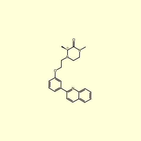 C[C@H]1C(=O)N(C)CCN1CCOc1cccc(-c2ccc3c[c]ccc3n2)c1